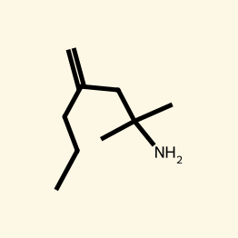 C=C(CCC)CC(C)(C)N